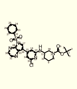 CC(C)(C)OC(=O)N1CCCC(Nc2cc(-c3cn(S(=O)(=O)c4ccccc4)c4nccnc34)cc(Cl)n2)C1